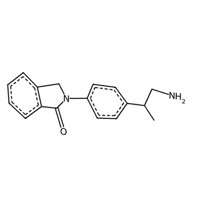 CC(CN)c1ccc(N2Cc3ccccc3C2=O)cc1